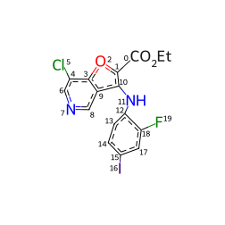 CCOC(=O)c1oc2c(Cl)cncc2c1Nc1ccc(I)cc1F